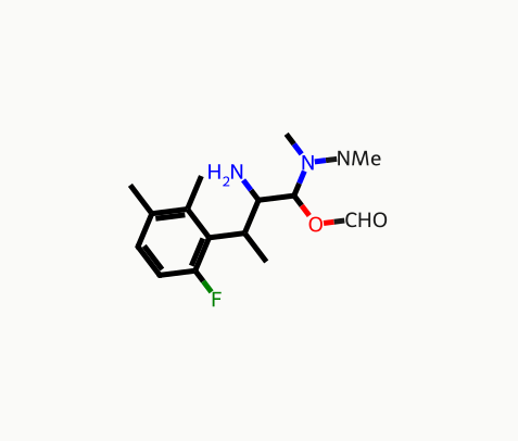 CNN(C)C(OC=O)C(N)C(C)c1c(F)ccc(C)c1C